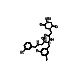 CCCCN1CC(=O)N(CC(=O)N[C@@H](Cc2cc(F)cc(F)c2)[C@H](O)CNCc2cccc(CC)c2)CC1=O